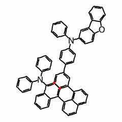 c1ccc(N(c2ccc(-c3cccc(-c4cccc5cccc(-c6ccc(N(c7ccccc7)c7ccccc7)c7ccccc67)c45)c3)cc2)c2ccc3oc4ccccc4c3c2)cc1